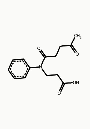 CC(=O)CCC(=O)N(CCC(=O)O)c1ccccc1